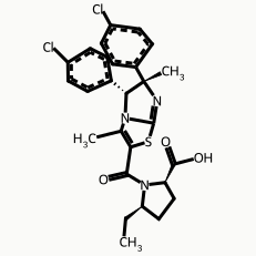 CC[C@@H]1CC[C@H](C(=O)O)N1C(=O)C1=C(C)N2C(=N[C@@](C)(c3ccc(Cl)cc3)[C@H]2c2ccc(Cl)cc2)S1